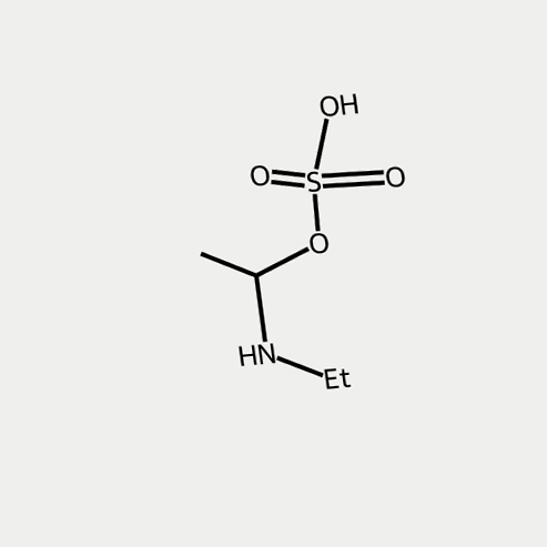 CCNC(C)OS(=O)(=O)O